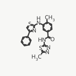 Cc1nnc(NC(=O)c2ccc(C)c(Nc3nc(-c4ccccc4)cs3)c2)s1